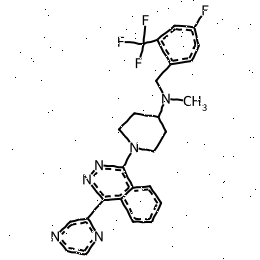 CN(Cc1ccc(F)cc1C(F)(F)F)C1CCN(c2nnc(-c3cnccn3)c3ccccc23)CC1